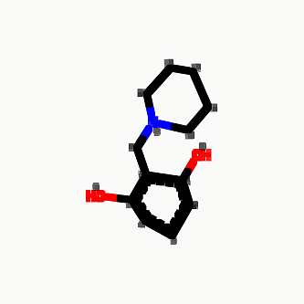 Oc1cccc(O)c1CN1CCCCC1